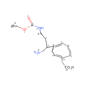 CC(C)(C)OC(=O)NCCC(N)c1cccc(C(=O)O)c1